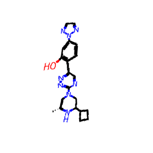 C[C@@H]1CN(c2ncc(-c3ccc(-n4nccn4)cc3O)nn2)CC(C2CCC2)N1